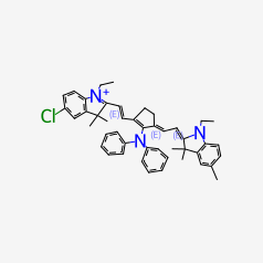 CCN1/C(=C/C=C2\CCC(/C=C/C3=[N+](CC)c4ccc(Cl)cc4C3(C)C)=C2N(c2ccccc2)c2ccccc2)C(C)(C)c2cc(C)ccc21